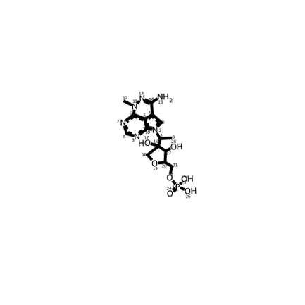 CC(n1cc2c3c(ncnc31)N(C)N=C2N)C1(O)COC(COP(=O)(O)O)C1O